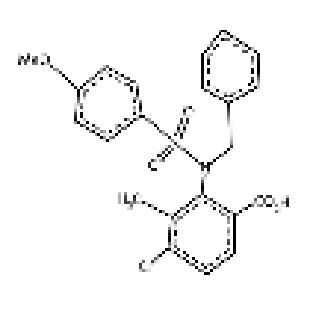 COc1ccc(S(=O)(=O)N(Cc2ccccc2)c2c(C(=O)O)ccc(Cl)c2C)cc1